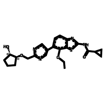 CCOc1c(-c2cnc(CO[C@H]3CCC[C@@H]3O)nc2)ccc2nc(NC(=O)C3CC3)sc12